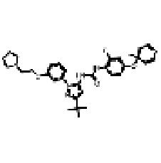 CC1(Oc2ccc(NC(=O)Nc3cc(C(C)(C)C)nn3-c3cccc(OCCN4CCCC4)c3)c(F)c2)C=CN=CC1